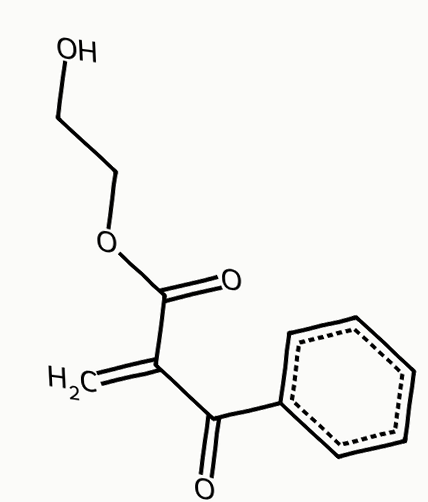 C=C(C(=O)OCCO)C(=O)c1ccccc1